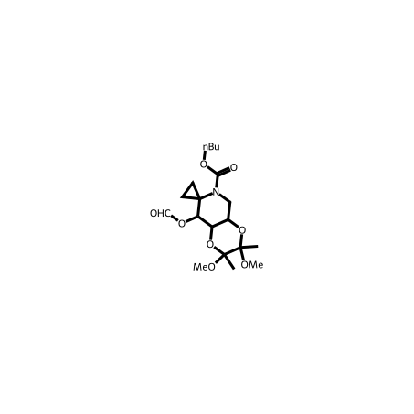 CCCCOC(=O)N1CC2OC(C)(OC)C(C)(OC)OC2C(OC=O)C12CC2